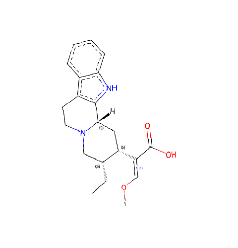 CC[C@@H]1CN2CCc3c([nH]c4ccccc34)[C@@H]2C[C@@H]1/C(=C\OC)C(=O)O